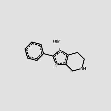 Br.c1ccc(-c2nc3c(s2)CNCC3)cc1